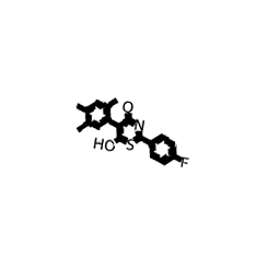 Cc1cc(C)c(-c2c(O)sc(-c3ccc(F)cc3)nc2=O)cc1C